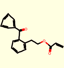 C=CC(=O)OCCc1ccccc1C(=O)c1ccccc1